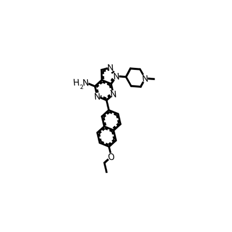 CCOc1ccc2cc(-c3nc(N)c4cnn(C5CCN(C)CC5)c4n3)ccc2c1